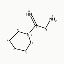 N=C(CN)N1C[CH]CCC1